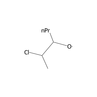 CCCC([O])C(C)Cl